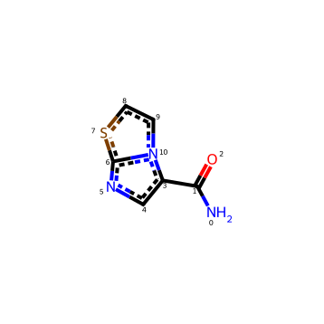 NC(=O)c1cnc2sccn12